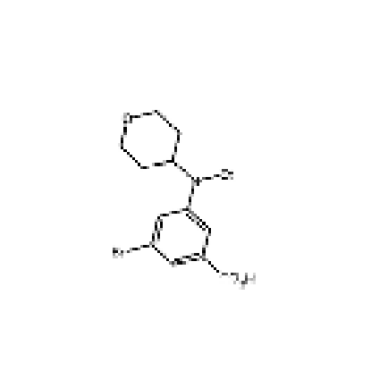 CCN(c1cc(Br)cc(C(=O)O)c1)C1CCOCC1